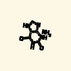 N.O=c1[nH]c(=O)c2[nH]cnc2[nH]1